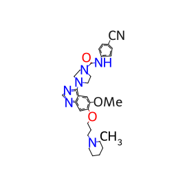 COc1cc2c(N3CCN(C(=O)Nc4ccc(C#N)cc4)CC3)ncnc2cc1OCCCN1CCCCC1C